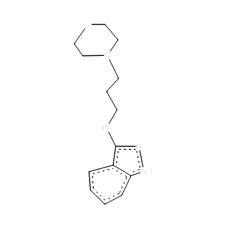 c1ccc2c(NCCCN3CCOCC3)n[nH]c2c1